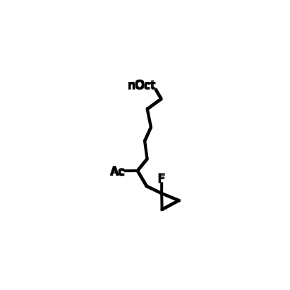 CCCCCCCCCCCCCC(CC1(F)CC1)C(C)=O